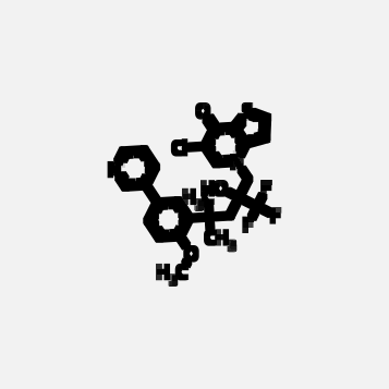 COc1ccc(-c2cccnc2)cc1C(C)(C)CC(O)(Cn1cc(Cl)c(=O)c2sccc21)C(F)(F)F